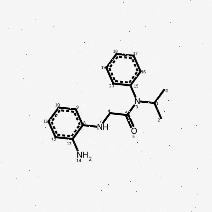 CC(C)N(C(=O)CNc1ccccc1N)c1ccccc1